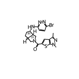 Cc1nn(C)c2sc(C(=O)N3C[C@@H]4CC[C@@H](Nc5ccc(Br)nn5)[C@@H]4C3)cc12